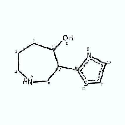 OC1CCCNCC1c1nccs1